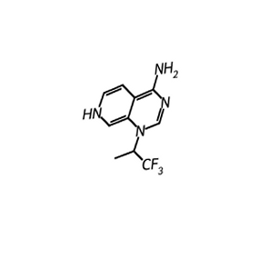 CC(N1C=NC(N)=C2C=CNC=C21)C(F)(F)F